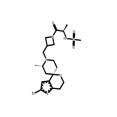 CCc1cc2c(s1)CCO[C@@]21CCN(CC2CN(C(=O)[C@@H](C)NS(C)(=O)=O)C2)[C@@H](C)C1